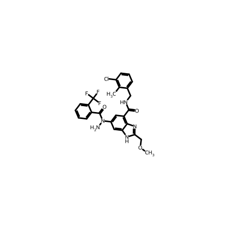 COCc1nc2c(C(=O)NCc3cccc(Cl)c3C)cc(N(N)C(=O)c3ccccc3C(F)(F)F)cc2[nH]1